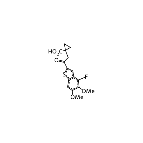 COc1cc2sc(C(=O)CC3(C(=O)O)CC3)cc2c(F)c1OC